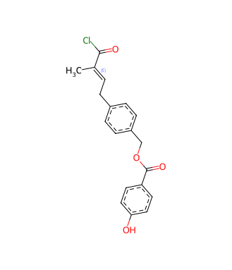 C/C(=C\Cc1ccc(COC(=O)c2ccc(O)cc2)cc1)C(=O)Cl